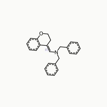 C(=C1/CCOc2ccccc21)/N(Cc1ccccc1)Cc1ccccc1